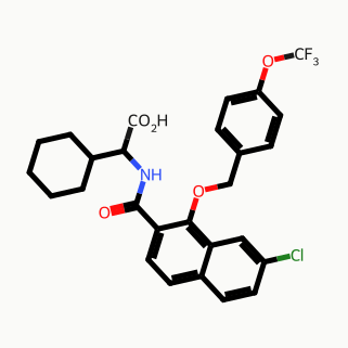 O=C(NC(C(=O)O)C1CCCCC1)c1ccc2ccc(Cl)cc2c1OCc1ccc(OC(F)(F)F)cc1